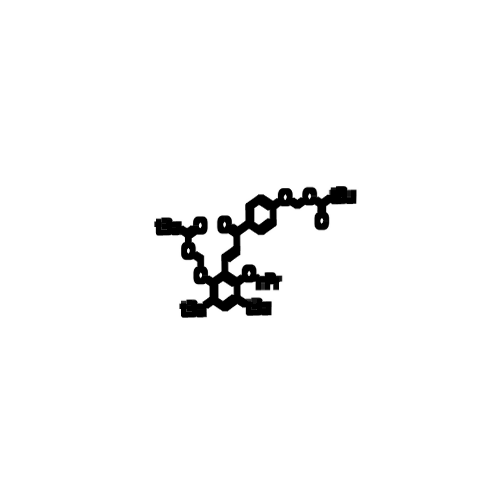 CCCOc1c(C(C)(C)C)cc(C(C)(C)C)c(OCOC(=O)C(C)(C)C)c1/C=C/C(=O)c1ccc(OCOC(=O)C(C)(C)C)cc1